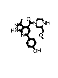 COCC1CN(C(=O)c2cc(-c3ccc(O)cc3)nc3[nH]nc(C)c23)CCN1